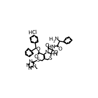 CO[C@@]1(NC(=O)C(N)c2ccccc2)C(=O)N2C(C(=O)OC(c3ccccc3)c3ccccc3)=C(CSc3nnnn3C)CS[C@H]21.Cl